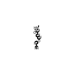 CCNc1ncc(-c2ccc3cc(Oc4ccnc(-c5cnn(C)c5)c4)cnc3n2)c(=O)n1C